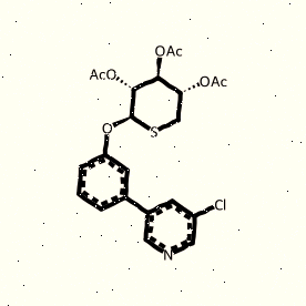 CC(=O)O[C@@H]1[C@@H](OC(C)=O)[C@H](OC(C)=O)CS[C@H]1Oc1cccc(-c2cncc(Cl)c2)c1